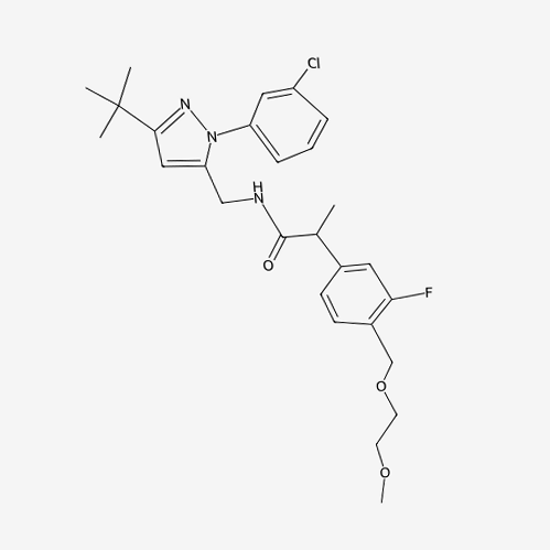 COCCOCc1ccc(C(C)C(=O)NCc2cc(C(C)(C)C)nn2-c2cccc(Cl)c2)cc1F